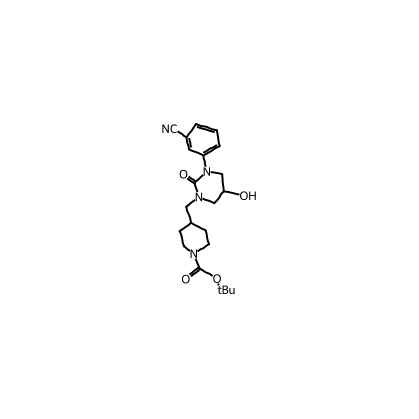 CC(C)(C)OC(=O)N1CCC(CN2CC(O)CN(c3cccc(C#N)c3)C2=O)CC1